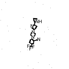 N#Cc1cc(C(F)(F)F)ccc1N1CCN(c2ccc(-c3ccc[nH]3)nc2)CC1